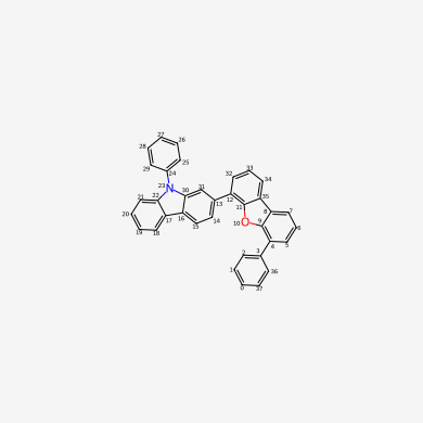 c1ccc(-c2cccc3c2oc2c(-c4ccc5c6ccccc6n(-c6ccccc6)c5c4)cccc23)cc1